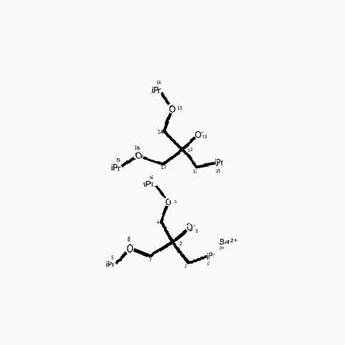 CC(C)CC([O-])(COC(C)C)COC(C)C.CC(C)CC([O-])(COC(C)C)COC(C)C.[Ba+2]